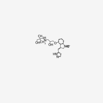 CC(C)(CO)CNCC(O)COc1cccc2c1C(=Cc1ccn[nH]1)C[NH+]2[O-]